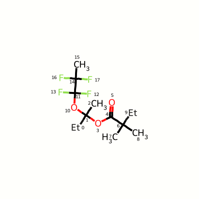 CCC(C)(OC(=O)C(C)(C)CC)OC(F)(F)C(C)(F)F